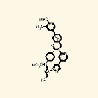 COc1ccc(C23CCC(CN(c4cc(-c5cnn(C(C)(C)C)c5)ccn4)C(=O)[C@H]4CC[C@H](N(CCCO)C(=O)O)CC4)(CC2)CC3)cc1C